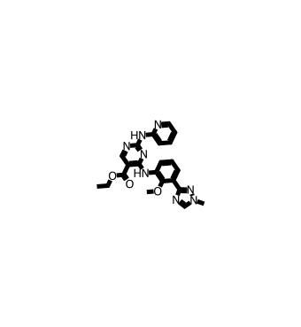 CCOC(=O)c1cnc(Nc2ccccn2)nc1Nc1cccc(-c2ncn(C)n2)c1OC